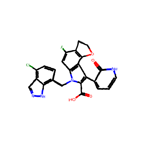 O=C(O)c1c(-c2ccc[nH]c2=O)c2c3c(c(F)cc2n1Cc1ccc(Cl)c2cn[nH]c12)CCO3